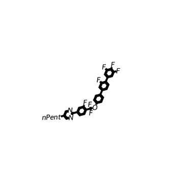 CCCCCc1cnc(-c2ccc(C(F)(F)Oc3ccc(-c4ccc(-c5cc(F)c(F)c(F)c5)c(F)c4)cc3)c(F)c2)nc1